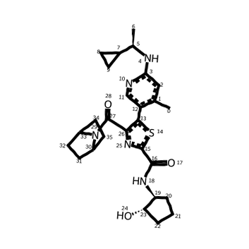 Cc1cc(N[C@H](C)C2CC2)ncc1-c1sc(C(=O)N[C@H]2CCC[C@@H]2O)nc1C(=O)N1C2CCC1CC2